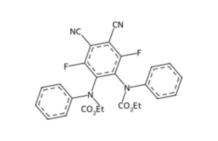 CCOC(=O)N(c1ccccc1)c1c(F)c(C#N)c(C#N)c(F)c1N(C(=O)OCC)c1ccccc1